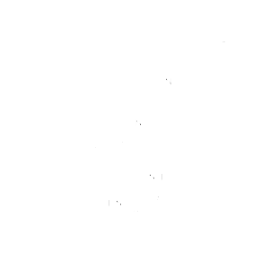 O=c1[nH]c2c([nH]c1=O)C(N1CCN(CCO)CC1)c1ccccc1-2